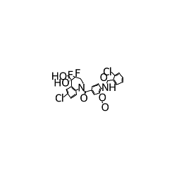 COCOc1cc(C(=O)N2CCC(F)(F)[C@](O)(CO)c3cc(Cl)ccc32)ccc1NC(=O)c1ccccc1Cl